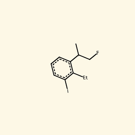 CCc1c(I)cccc1[C](C)CF